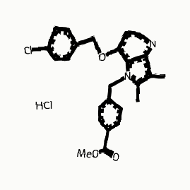 COC(=O)c1ccc(Cn2c(C)c(C)c3nccc(OCc4ccc(Cl)cc4)c32)cc1.Cl